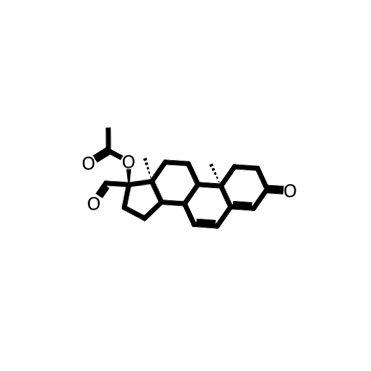 CC(=O)O[C@]1(C=O)CCC2C3C=CC4=CC(=O)CC[C@]4(C)C3CC[C@@]21C